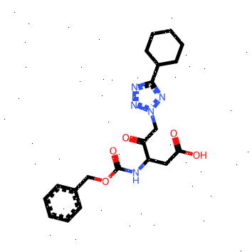 O=C(O)CC(NC(=O)OCc1ccccc1)C(=O)Cn1nnc(C2CCCCC2)n1